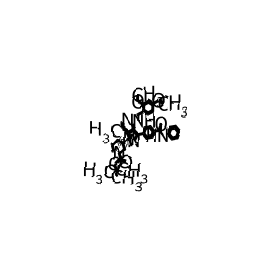 COc1ccc(CNc2ncc(C)c3c2c(-c2ccc(C(=O)Nc4ccccc4)cc2)nn3[C@@H]2CCCN(C(=O)OC(C)(C)C)C2)c(OC)c1